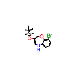 CC(C)(C)[Si](C)(C)OC1CNc2cccc(Br)c2OC1